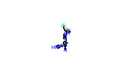 Cc1nc(N2CCC3(CCN(Cc4ccc5c(cc(C#N)n5C[C@H](C)N5CCNCC5)c4C)C3)C2)c2cc(CC(F)(F)F)sc2n1